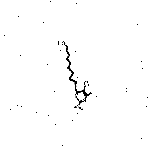 Cc1nc(N(C)C)nc(CCCCCCCCCCO)c1C#N